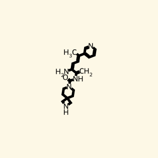 C=C(NC(=O)N1CCC2(CC1)CNC2)/C(N)=C\C=C(/C)c1cccnc1